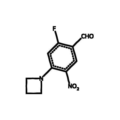 O=Cc1cc([N+](=O)[O-])c(N2CCC2)cc1F